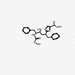 CCC(OC)c1cnc(C(Cc2ccccc2)CC(OC(C)=O)C(Cc2ccccc2)NC(=O)OC(C)(C)C)s1